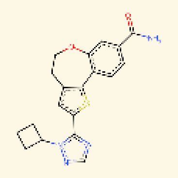 NC(=O)c1ccc2c(c1)OCCc1cc(-c3ncnn3C3CCC3)sc1-2